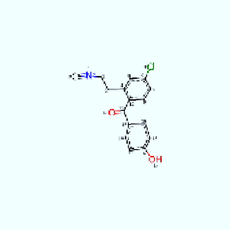 [C-]#[N+]CCc1cc(Cl)ccc1C(=O)c1ccc(O)cc1